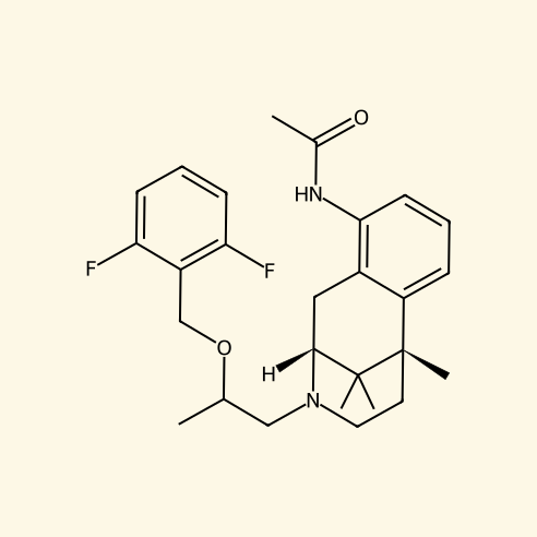 CC(=O)Nc1cccc2c1C[C@H]1N(CC(C)OCc3c(F)cccc3F)CC[C@]2(C)C1(C)C